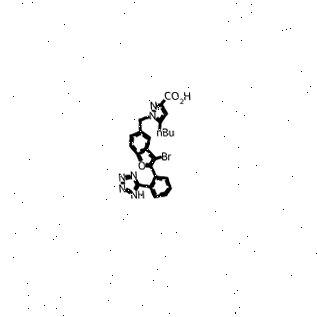 CCCCc1cc(C(=O)O)nn1Cc1ccc2oc(-c3ccccc3-c3nnn[nH]3)c(Br)c2c1